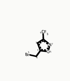 FC(F)(F)c1cc(CBr)on1